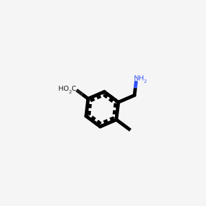 Cc1ccc(C(=O)O)cc1CN